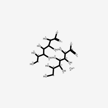 O=C([O-])C(O)C(O)C(O)C(O)C(O)CO.O=C([O-])C(O)C(O)C(O)C(O)C(O)CO.[Ca+2]